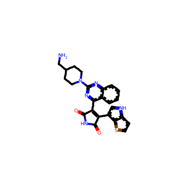 NCC1CCN(c2nc(C3=C(c4c[nH]c5ccsc45)C(=O)NC3=O)c3ccccc3n2)CC1